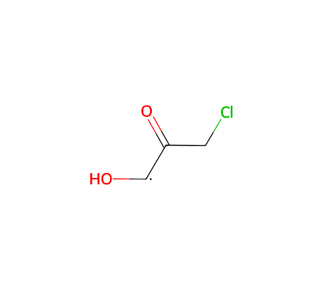 O=C([CH]O)CCl